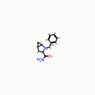 NC(=O)C1CC2CC2N1Cc1ccccc1